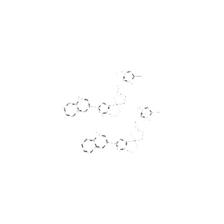 Cc1c[nH]c(CN2CCC3(CCn4nc(-c5cnc6ccccc6c5)cc43)C2)n1.Cc1c[nH]c(CN2CCC3(CCn4nc(-c5cnc6ccccc6c5)cc43)C2)n1